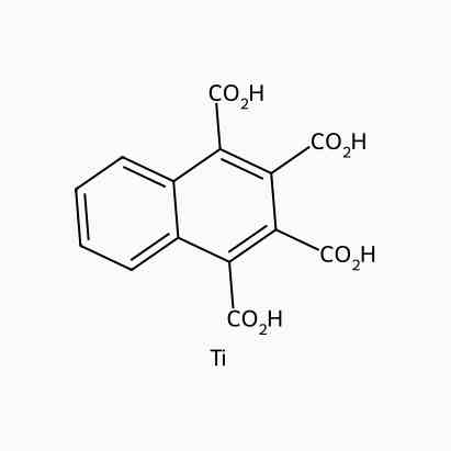 O=C(O)c1c(C(=O)O)c(C(=O)O)c2ccccc2c1C(=O)O.[Ti]